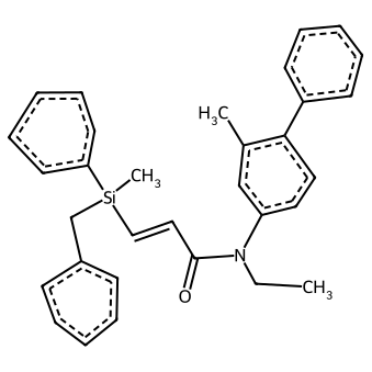 CCN(C(=O)C=C[Si](C)(Cc1ccccc1)c1ccccc1)c1ccc(-c2ccccc2)c(C)c1